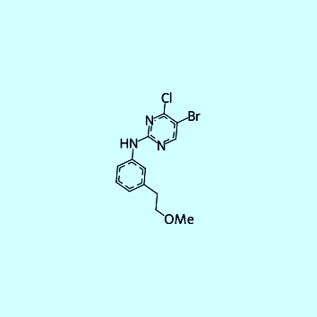 COCCc1cccc(Nc2ncc(Br)c(Cl)n2)c1